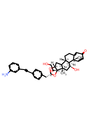 C[C@]12C=CC(=O)C=C1CC[C@@H]1[C@@H]2[C@@H](O)C[C@@]2(C)[C@H]1C[C@H]1O[C@@H](Cc3ccc(C#Cc4cccc(N)c4)cc3)O[C@]12C(=O)CO